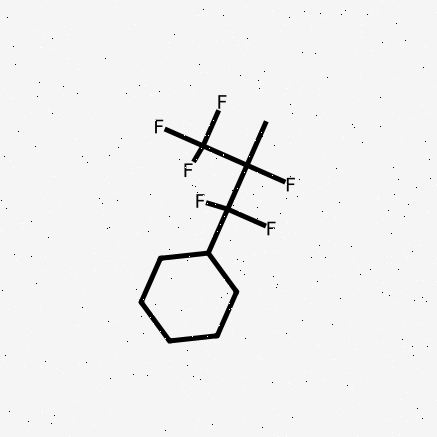 CC(F)(C(F)(F)F)C(F)(F)C1CCCCC1